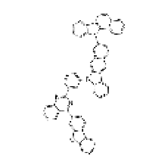 c1cc(-c2nc(-c3ccc4c(c3)oc3ccccc34)c3ccccc3n2)cc(-n2c3ccccc3c3cc4ccc(-n5c6ccccc6c6ccc7ccccc7c65)cc4cc32)c1